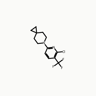 FC(F)(F)c1ccc(N2CCC3(CC2)CC3)nc1Cl